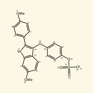 COc1ccc(-c2[se]c3cc(OC)ccc3c2Oc2ccc(OS(=O)(=O)C(F)(F)F)cc2)cc1